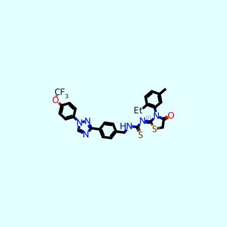 CCc1ccc(C)cc1N1C(=O)CS/C1=N\C(=S)NCc1ccc(-c2ncn(-c3ccc(OC(F)(F)F)cc3)n2)cc1